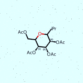 CC(=O)OCC1OC(C(C)C)[C@@H](OC(C)=O)[C@@H](OC(C)=O)[C@H]1OC(C)=O